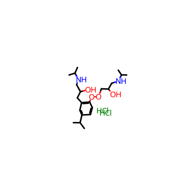 CC(C)NCC(O)COOc1ccc(C(C)C)cc1CC(O)CNC(C)C.Cl.Cl